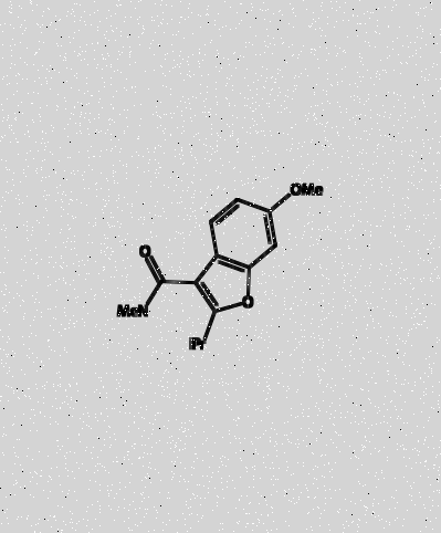 CNC(=O)c1c(C(C)C)oc2cc(OC)ccc12